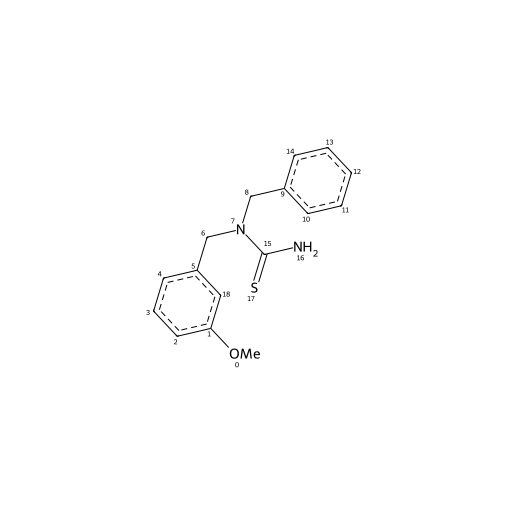 COc1cccc(CN(Cc2ccccc2)C(N)=S)c1